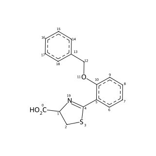 O=C(O)C1CSC(c2ccccc2OCc2ccccc2)=N1